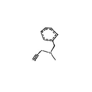 [C]#CCN(C)Cc1ccccc1